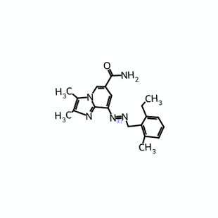 CCc1cccc(C)c1C/N=N/c1cc(C(N)=O)cn2c(C)c(C)nc12